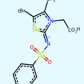 Cc1c(C(C)(C)C)s/c(=N\S(=O)(=O)c2ccccc2)n1CC(=O)O